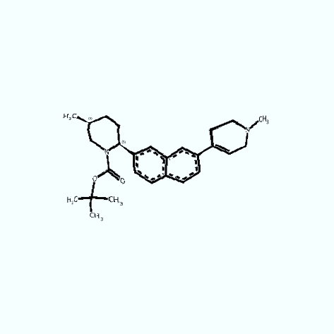 C[C@H]1CC[C@@H](c2ccc3ccc(C4=CCN(C)CC4)cc3c2)N(C(=O)OC(C)(C)C)C1